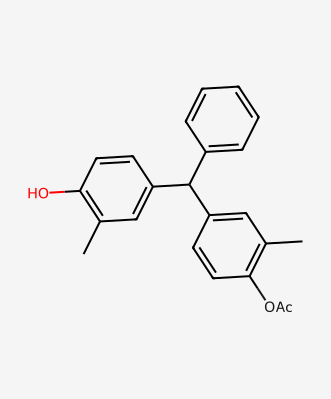 CC(=O)Oc1ccc(C(c2ccccc2)c2ccc(O)c(C)c2)cc1C